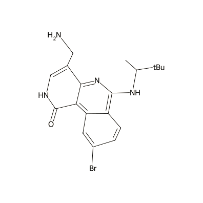 CC(Nc1nc2c(CN)c[nH]c(=O)c2c2cc(Br)ccc12)C(C)(C)C